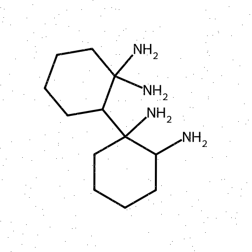 NC1CCCCC1(N)C1CCCCC1(N)N